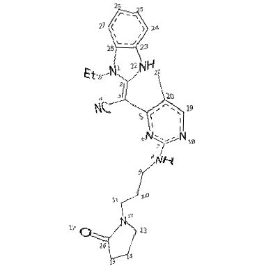 CCN1C(=C(C#N)c2nc(NCCCN3CCCC3=O)ncc2C)Nc2ccccc21